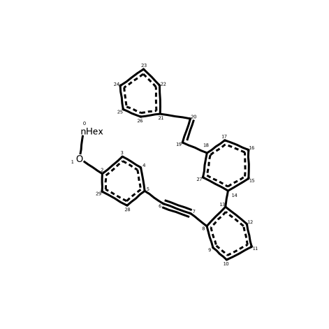 CCCCCCOc1ccc(C#Cc2ccccc2-c2cccc(/C=C/c3ccccc3)c2)cc1